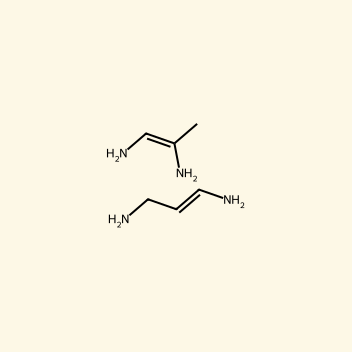 CC(N)=CN.NC=CCN